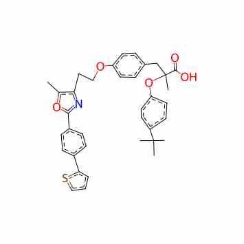 Cc1oc(-c2ccc(-c3cccs3)cc2)nc1CCOc1ccc(CC(C)(Oc2ccc(C(C)(C)C)cc2)C(=O)O)cc1